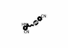 N#Cc1ccc(N2CCN(CCCc3c[nH]c4ccc(C#N)cc34)CC2)cc1